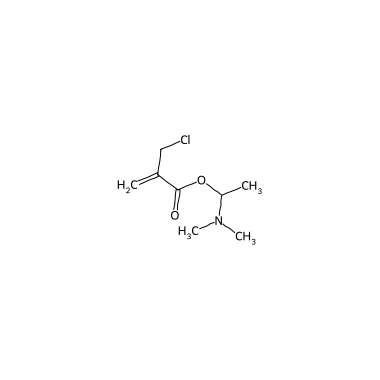 C=C(CCl)C(=O)OC(C)N(C)C